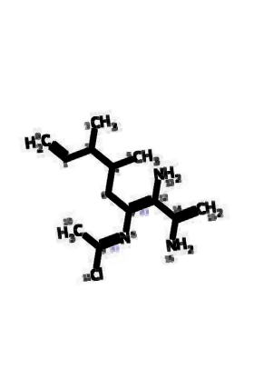 C=CC(C)C(C)CC(/N=C(\C)Cl)=C(\N)C(=C)N